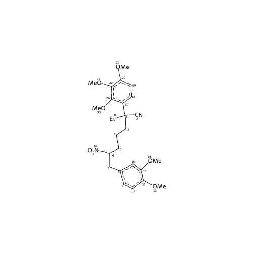 CCC(C#N)(CCCC(Cc1ccc(OC)c(OC)c1)[N+](=O)[O-])c1ccc(OC)c(OC)c1OC